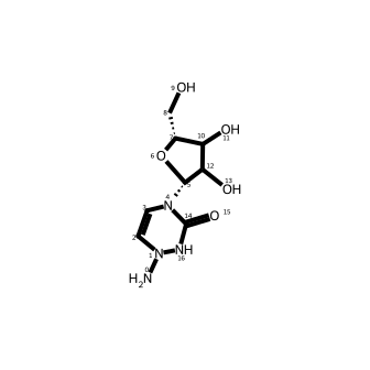 NN1C=CN([C@@H]2O[C@H](CO)C(O)C2O)C(=O)N1